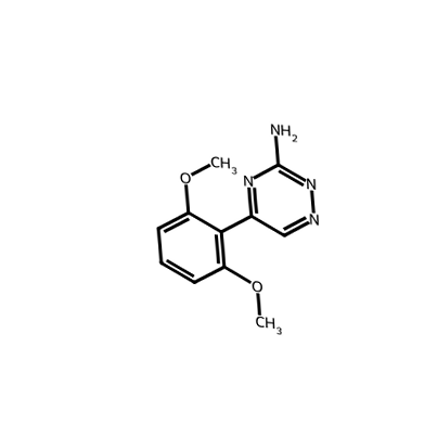 COc1cccc(OC)c1-c1cnnc(N)n1